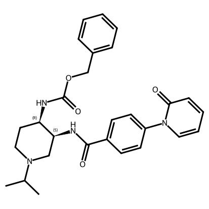 CC(C)N1CC[C@@H](NC(=O)OCc2ccccc2)[C@@H](NC(=O)c2ccc(-n3ccccc3=O)cc2)C1